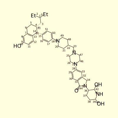 CCC(CC)C[C@H]1CCc2cc(O)ccc2[C@H]1c1ccc(N2CCC(CN3CCN(c4ccc5c(c4)CN(C4CCC(O)NC4O)C5=O)CC3)CC2)cc1